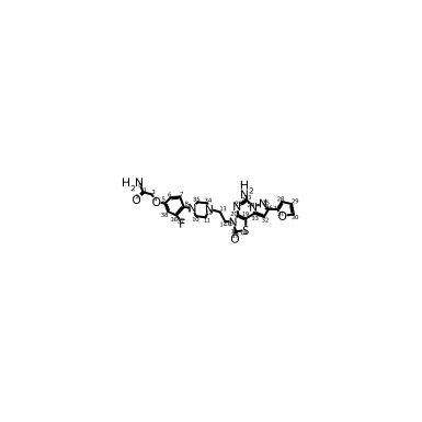 NC(=O)COc1ccc(N2CCN(CCn3c(=O)sc4c3nc(N)n3nc(-c5ccco5)cc43)CC2)c(F)c1